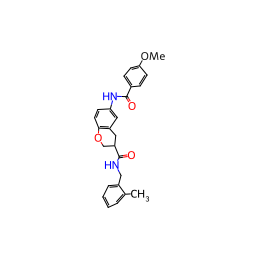 COc1ccc(C(=O)Nc2ccc3c(c2)CC(C(=O)NCc2ccccc2C)CO3)cc1